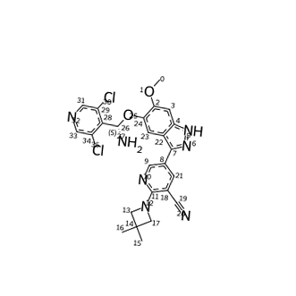 COc1cc2[nH]nc(-c3cnc(N4CC(C)(C)C4)c(C#N)c3)c2cc1O[C@H](N)c1c(Cl)cncc1Cl